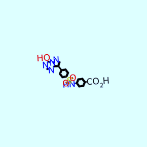 O=C(O)c1ccc(NS(=O)(=O)c2ccc(-c3cnn4c(O)ncnc34)cc2)cc1